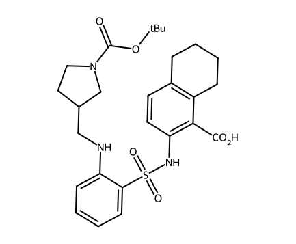 CC(C)(C)OC(=O)N1CCC(CNc2ccccc2S(=O)(=O)Nc2ccc3c(c2C(=O)O)CCCC3)C1